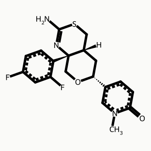 Cn1cc([C@H]2C[C@H]3CSC(N)=N[C@@]3(c3ccc(F)cc3F)CO2)ccc1=O